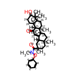 CN(Oc1ccccc1)C(=O)[C@@]1(C)CC[C@]2(C)CC[C@]3(C)C(=CC(=O)[C@@H]4[C@@]5(C)CC[C@H](O)C(C)(C)C5CC[C@]43C)[C@@H]2C1